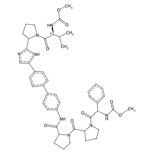 COC(=O)NC(C(=O)N1CCCC1C(=O)N1CCCC1C(=O)Nc1ccc(-c2ccc(-c3cnc(C4CCCN4C(=O)[C@@H](NC(=O)OC)C(C)C)[nH]3)cc2)cc1)c1ccccc1